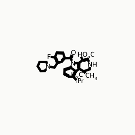 CC(C)c1cccc2c1c1c(n2C(=O)c2ccc(F)c(CN3CCCCC3)c2)C(C(=O)O)=CNCC1(C)C